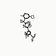 Cc1ccc(Cl)cc1C1(c2noc(-c3cc(C(F)F)n(C)n3)n2)CC1